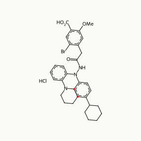 COc1cc(CC(=O)NN(c2ccc(C3CCCCC3)cc2)c2ccccc2N2CCCCC2)c(Br)cc1C(=O)O.Cl